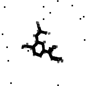 C=CC(=O)C1CCC(C(C)C)C(CC(F)F)C1